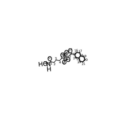 O=C(CCCCS(=O)(=O)S(=O)(=O)CC(=O)c1ccc2ccccc2c1)NO